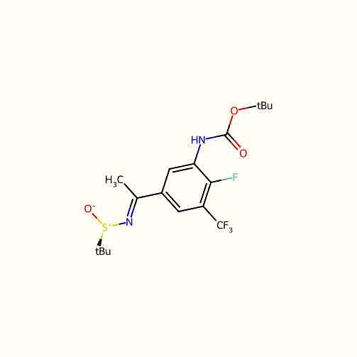 CC(=N[S@+]([O-])C(C)(C)C)c1cc(NC(=O)OC(C)(C)C)c(F)c(C(F)(F)F)c1